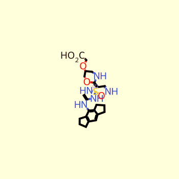 C=C(Nc1c2c(cc3c1CCC3)CCC2)NS(=N)(=O)/C(C=N)=C1/NCC(OCC(=O)O)CO1